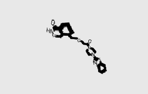 O=C(CCOCCc1cccc2c(=O)[nH]ncc12)N1CCN(c2nc3ccccc3s2)CC1